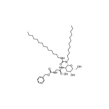 CCCCCCCCCCCCCCNC(=O)N(CCCCCCCCCCCC)[C@@H]1O[C@H](CO)[C@H](O)[C@H](O)[C@H]1NC(=O)CNC(=O)OCc1ccccc1